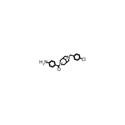 Nc1ccc(C(=O)N2CC3CC(CN(Cc4ccc(Cl)cc4)C3)C2)cc1